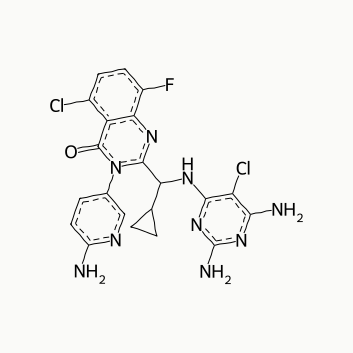 Nc1ccc(-n2c(C(Nc3nc(N)nc(N)c3Cl)C3CC3)nc3c(F)ccc(Cl)c3c2=O)cn1